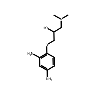 CN(C)CC(O)COc1ccc(N)cc1N